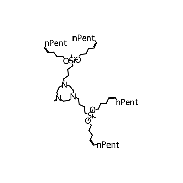 CCCCC/C=C\CCCO[Si](C)(CCCCN1CCN(C)CCN(CCCC[Si](C)(OCCC/C=C\CCCCC)OCCC/C=C\CCCCC)CC1)OCCC/C=C\CCCCC